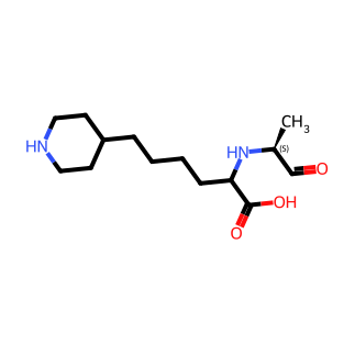 C[C@@H](C=O)NC(CCCCC1CCNCC1)C(=O)O